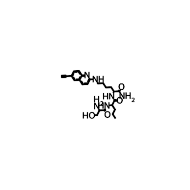 C#Cc1ccc2nc(NCCCCC(NC(=O)C(CCC)NC(=O)C(N)CO)C(N)=O)ccc2c1